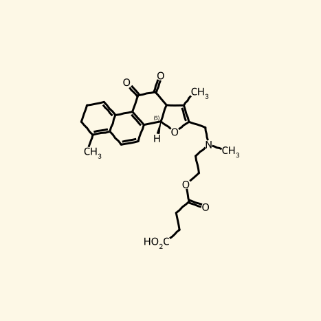 CC1=C(CN(C)CCOC(=O)CCC(=O)O)O[C@@H]2c3ccc4c(c3C(=O)C(=O)C12)=CCCC=4C